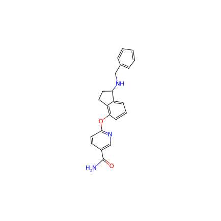 NC(=O)c1ccc(Oc2cccc3c2CCC3NCc2ccccc2)nc1